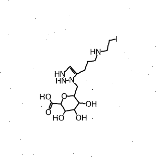 O=C(O)C1OC(CN2NNC=C2CCCNCCI)C(O)C(O)C1O